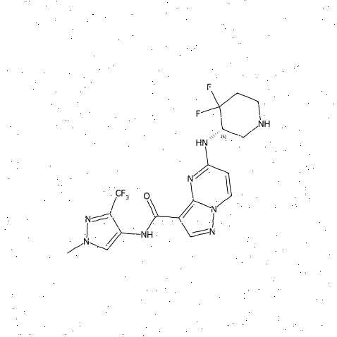 Cn1cc(NC(=O)c2cnn3ccc(N[C@H]4CNCCC4(F)F)nc23)c(C(F)(F)F)n1